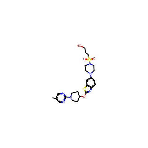 Cc1cnc(N2CCC(Oc3nc4ccc(N5CCN(S(=O)(=O)CCCO)CC5)cc4s3)CC2)nc1